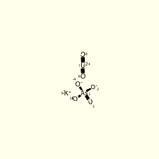 O=[As]([O-])([O-])[O-].[K+].[O]=[U+2]=[O]